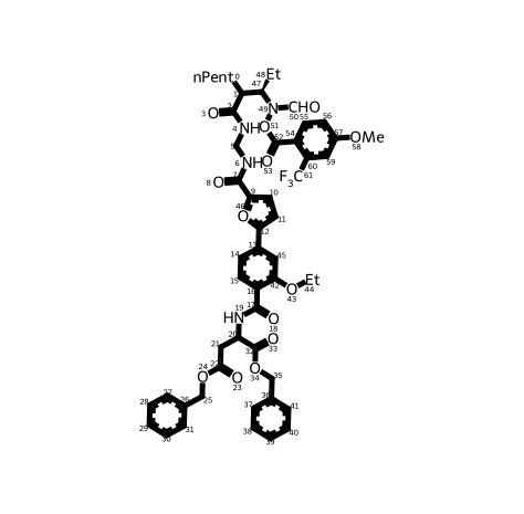 CCCCCC(C(=O)NCNC(=O)c1ccc(-c2ccc(C(=O)NC(CC(=O)OCc3ccccc3)C(=O)OCc3ccccc3)c(OCC)c2)o1)[C@@H](CC)N(C=O)OC(=O)c1ccc(OC)cc1C(F)(F)F